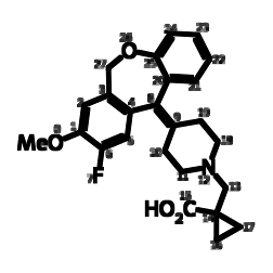 COc1cc2c(cc1F)C(=C1CCN(CC3(C(=O)O)CC3)CC1)c1ccccc1OC2